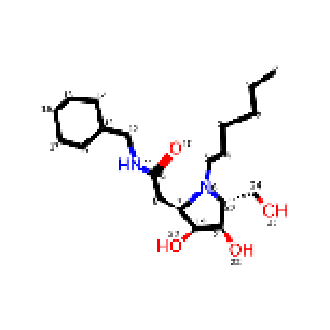 CCCCCCN1[C@H](CC(=O)NCC2CCCCC2)[C@H](O)[C@H](O)[C@H]1CO